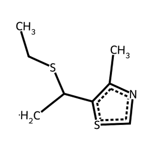 [CH2]C(SCC)c1scnc1C